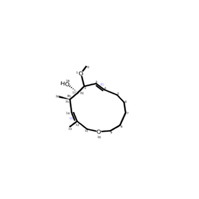 COC1/C=C/CCCCCOC/C(C)=C\[C@@H](C)[C@@H]1O